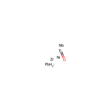 [Nb].[Ni].[O]=[Ti].[PbH2].[Zr]